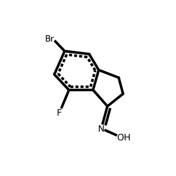 O/N=C1\CCc2cc(Br)cc(F)c21